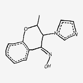 CC1Oc2ccccc2/C(=N\O)C1n1ccnc1